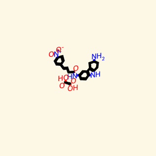 NC1CCc2[nH]c3ccc(NC(=O)C/C=C/c4ccc([N+](=O)[O-])cc4)cc3c2C1.O=C(O)C(=O)O